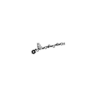 NC(COCCOCCOCCOCCOCCO)OCc1ccccc1